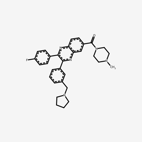 CN1CCN(C(=O)c2ccc3nc(-c4ccc(F)cc4)c(-c4cccc(CN5CCCC5)c4)nc3c2)CC1